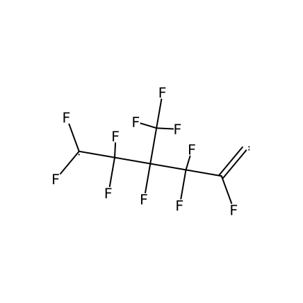 [C]=C(F)C(F)(F)C(F)(C(F)(F)F)C(F)(F)[C](F)F